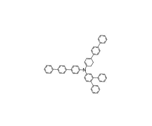 C1=C(c2ccc(-c3ccccc3)cc2)CCC(N(c2ccc(-c3ccc(-c4ccccc4)cc3)cc2)c2ccc(-c3ccccc3)c(-c3ccccc3)c2)=C1